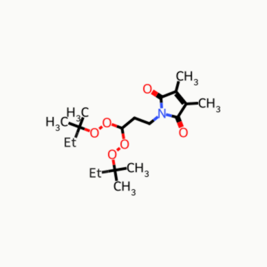 CCC(C)(C)OOC(CCN1C(=O)C(C)=C(C)C1=O)OOC(C)(C)CC